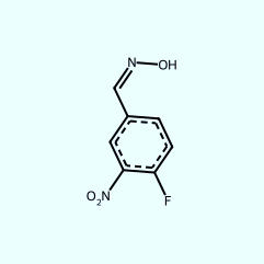 O=[N+]([O-])c1cc(/C=N\O)ccc1F